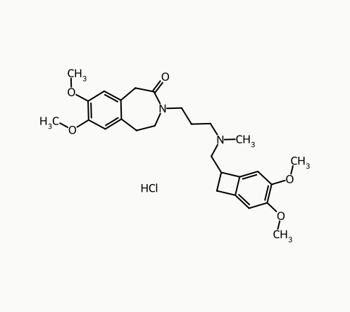 COc1cc2c(cc1OC)CC(=O)N(CCCN(C)CC1Cc3cc(OC)c(OC)cc31)CC2.Cl